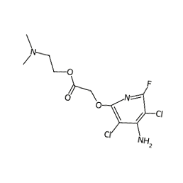 CN(C)CCOC(=O)COc1nc(F)c(Cl)c(N)c1Cl